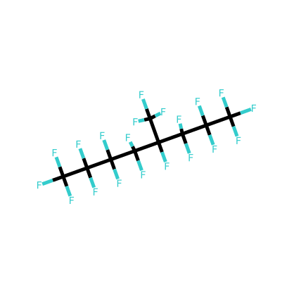 FC(F)(F)C(F)(F)C(F)(F)C(F)(F)C(F)(C(F)(F)F)C(F)(F)C(F)(F)C(F)(F)F